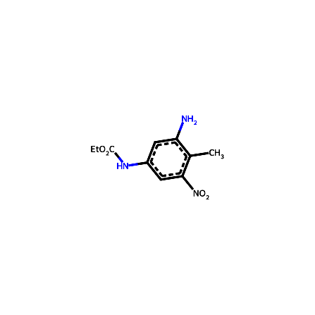 CCOC(=O)Nc1cc(N)c(C)c([N+](=O)[O-])c1